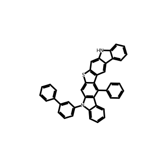 c1ccc(-c2cccc(-n3c4ccccc4c4c(-c5ccccc5)c5c(cc43)sc3cc4[nH]c6ccccc6c4cc35)c2)cc1